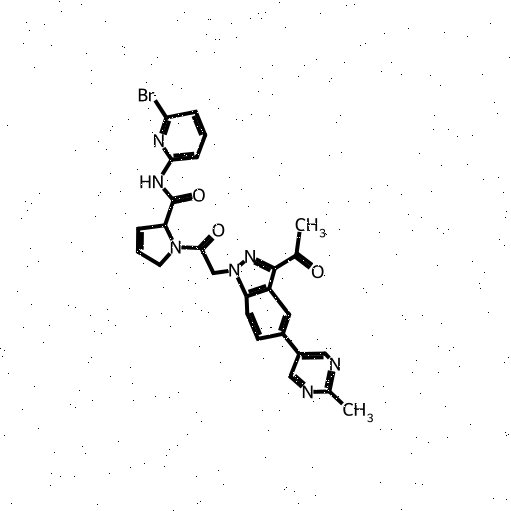 CC(=O)c1nn(CC(=O)N2CC=CC2C(=O)Nc2cccc(Br)n2)c2ccc(-c3cnc(C)nc3)cc12